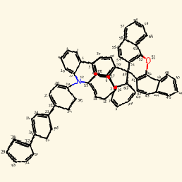 C1=CC2c3cc(-c4ccccc4N(C4=CCCC=C4)C4=CC=C(C5=CC=C(c6ccccc6)CC5)CC4)ccc3C3(c4ccc5ccccc5c4Oc4c3ccc3ccccc43)C2C=C1